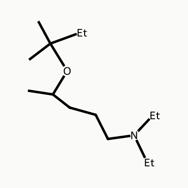 CCN(CC)CCCC(C)OC(C)(C)CC